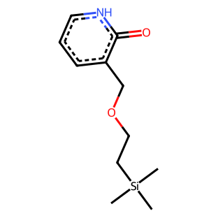 C[Si](C)(C)CCOCc1ccc[nH]c1=O